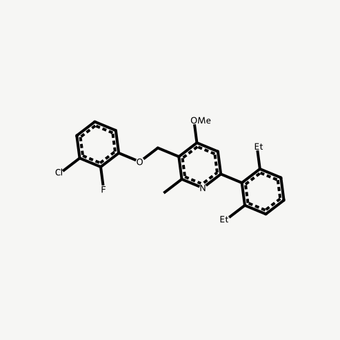 CCc1cccc(CC)c1-c1cc(OC)c(COc2cccc(Cl)c2F)c(C)n1